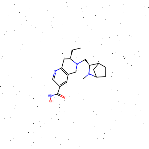 CC[C@@H]1Cc2ncc(C(=O)NO)cc2CN1C[C@H]1C2CCC(C2)N1C